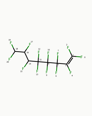 FC(F)=C(F)C(F)(F)C(F)(F)C(F)(F)C(F)C(F)C(F)F